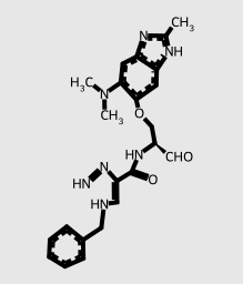 Cc1nc2cc(N(C)C)c(OC[C@@H](C=O)NC(=O)/C(=C/NCc3ccccc3)N=N)cc2[nH]1